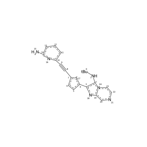 CC(C)(C)Nc1c(-c2ccc(C#Cc3cccc(N)n3)s2)nc2cnccn12